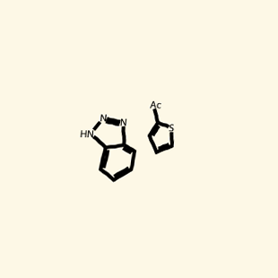 CC(=O)c1cccs1.c1ccc2[nH]nnc2c1